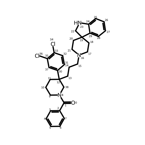 O=C(c1ccccc1)N1CCCC(CCCN2CCC3(CC2)CNc2ccccc23)(c2ccc(Cl)c(Cl)c2)C1